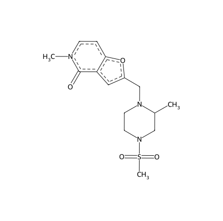 CC1CN(S(C)(=O)=O)CCN1Cc1cc2c(=O)n(C)ccc2o1